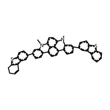 CN1c2cc(-c3ccc4sc5c(c4c3)C=CCC5)ccc2-c2ccc3c4c(ccc1c24)N(C)c1cc(-c2ccc4sc5ccccc5c4c2)ccc1-3